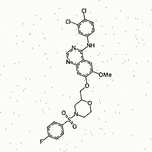 COc1cc2c(Nc3ccc(Cl)c(Cl)c3)ncnc2cc1OCC1CN(S(=O)(=O)c2ccc(F)cc2)CCO1